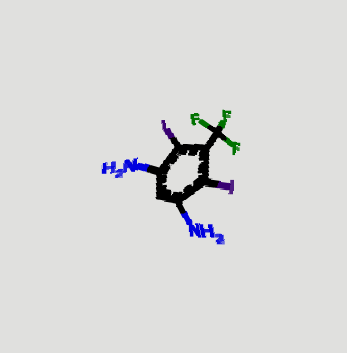 Nc1cc(N)c(I)c(C(F)(F)F)c1I